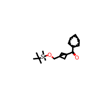 CC(C)(C)[Si](C)(C)OCC12CC(C(=O)c3ccccc3)(C1)C2